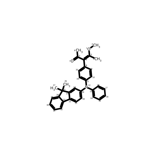 CO/C(C)=C(\C(C)=O)c1ccc(N(c2ccccc2)c2ccc3c(c2)C(C)(C)c2ccccc2-3)cc1